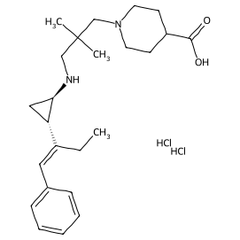 CC/C(=C\c1ccccc1)[C@@H]1C[C@H]1NCC(C)(C)CN1CCC(C(=O)O)CC1.Cl.Cl